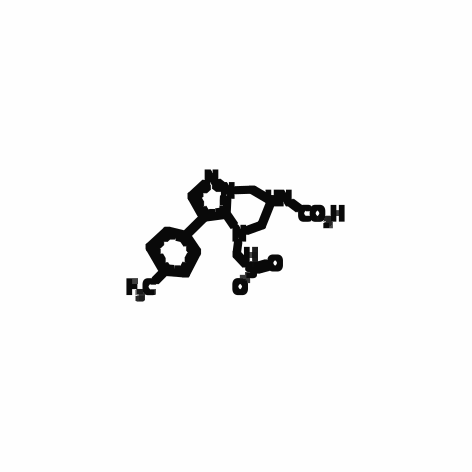 O=C(O)NC1CN(C[SH](=O)=O)c2c(-c3ccc(C(F)(F)F)cc3)cnn2C1